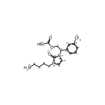 CCCCC(=O)OCC(c1cccc(C(F)(F)F)c1)n1ccn(CCCCN)c1=O